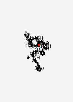 CC(C)[C@H](NC(=O)CCCCCN1C(=O)C=CC1=O)C(=O)N[C@@H](C)C(=O)NCc1ccccc1C(=O)Nc1nc2c(ncn2[C@@H]2O[C@@H]3CO[P@@](=O)(S)O[C@H]4C[C@H](Oc5ccncn5)C[C@@H]4CO[P@@](=O)(S)O[C@@H]2[C@@H]3O)c(=O)[nH]1